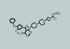 CC(C)(C)OC(=O)N1CC(N2CCC(N3CCC(n4nc(-c5ccc(Oc6ccccc6)c(F)c5)c5c(N)ncnc54)CC3)CC2)C1